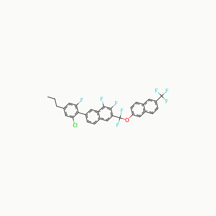 CCCc1cc(F)c(-c2ccc3cc(C(F)(F)Oc4ccc5cc(C(F)(F)F)ccc5c4)c(F)c(F)c3c2)c(Cl)c1